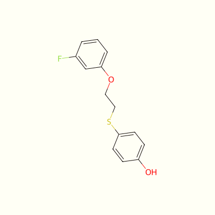 Oc1ccc(SCCOc2cccc(F)c2)cc1